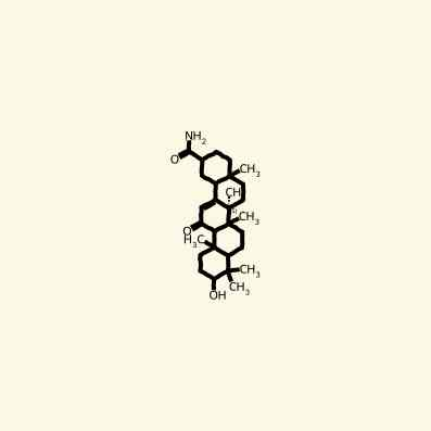 CC12CCC(C(N)=O)CC1C1=CC(=O)C3C4(C)CCC(O)C(C)(C)C4CCC3(C)[C@]1(C)CC2